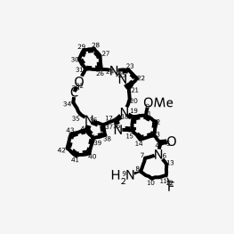 COc1cc(C(=O)N2C[C@H](N)C[C@@H](F)C2)cc2nc3n(c12)Cc1ccn(n1)-c1ccccc1OCCCn1c-3cc2ccccc21